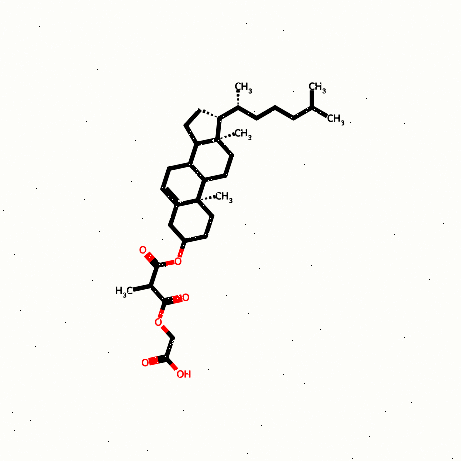 CC(C)CCC[C@@H](C)[C@H]1CCC2C3CC=C4CC(OC(=O)C(C)C(=O)OCC(=O)O)CC[C@]4(C)C3CC[C@@]21C